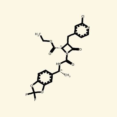 CCOC(=O)[C@@H]1C(Cc2ccnc(Cl)c2)C(=O)N1C(=O)N[C@H](C)c1ccc2c(c1)OC(F)(F)O2